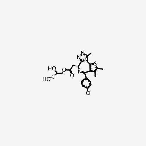 Cc1sc2c(c1C)C(c1ccc(Cl)cc1)=N[C@@H](CC(=O)OCC(O)CO)c1nnc(C)n1-2